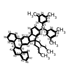 CCCCC1(CCCC)c2cc(N(c3cc(C)cc(C)c3)c3cc(C)cc(C)c3)ccc2-c2cc3c4ccccc4c4ccc5ccccc5c4c3cc21